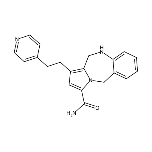 NC(=O)c1cc(CCc2ccncc2)c2n1Cc1ccccc1NC2